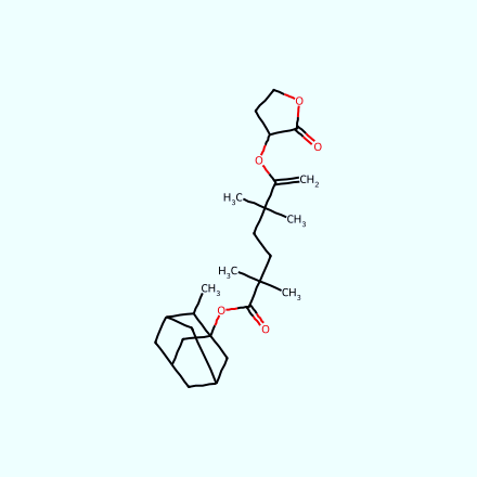 C=C(OC1CCOC1=O)C(C)(C)CCC(C)(C)C(=O)OC12CC3CC(CC(C3)C1C)C2